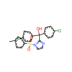 Cc1ccc(S(=O)(=O)n2ccnc2C(O)(c2ccc(Cl)cc2)c2ccc(Cl)cc2)cc1